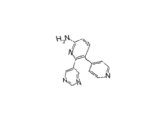 Nc1ccc(-c2ccncc2)c(-c2cncnc2)n1